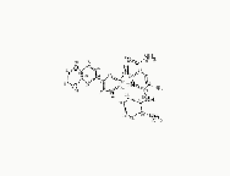 NC(=O)c1cc(F)c(NC2CCCCC2N)nc1Nc1cncc(-c2ccc3c(c2)OCCO3)c1